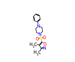 Cc1noc(S(=O)(=O)N2CCN(c3ccccc3)CC2)c1C